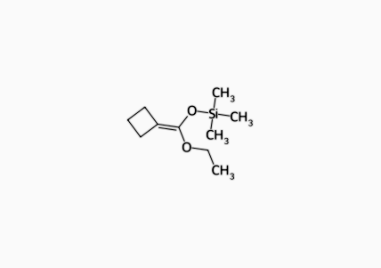 CCOC(O[Si](C)(C)C)=C1CCC1